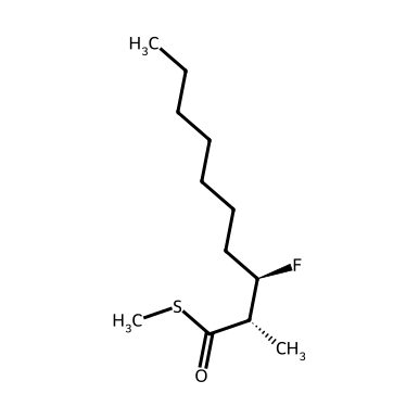 CCCCCCC[C@@H](F)[C@H](C)C(=O)SC